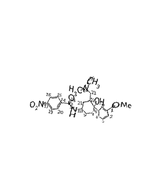 COc1cccc(C2(O)CCC(NC(=O)c3ccc([N+](=O)[O-])cc3)CC2CN(C)C)c1